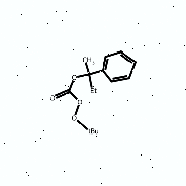 CCC(C)(OC(=O)OOC(C)(C)C)c1ccccc1